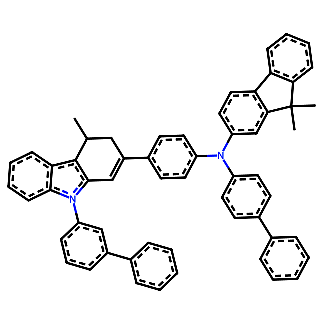 CC1CC(c2ccc(N(c3ccc(-c4ccccc4)cc3)c3ccc4c(c3)C(C)(C)c3ccccc3-4)cc2)=Cc2c1c1ccccc1n2-c1cccc(-c2ccccc2)c1